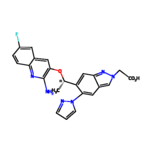 C[C@H](Oc1cc2cc(F)ccc2nc1N)c1cc2nn(CC(=O)O)cc2cc1-n1cccn1